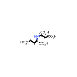 O=C(O)CC[C@H](NC(CC(=O)O)C(=O)O)C(=O)O